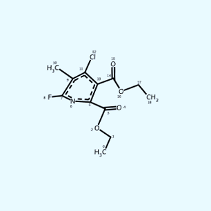 CCOC(=O)c1nc(F)c(C)c(Cl)c1C(=O)OCC